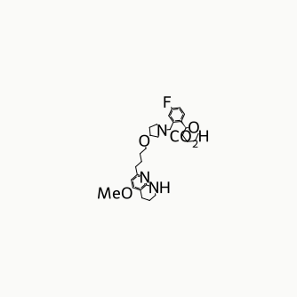 COc1cc(CCCCO[C@@H]2CCN([C@H](C(=O)O)c3cc(F)ccc3[C@@H]3CCCCO3)C2)nc2c1CCCN2